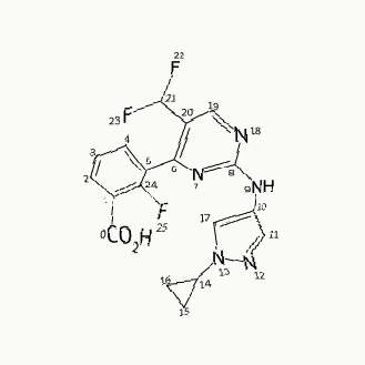 O=C(O)c1cccc(-c2nc(Nc3cnn(C4CC4)c3)ncc2C(F)F)c1F